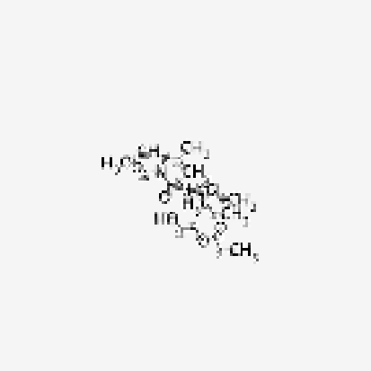 C=CC.C=CC.CCC(=O)OCCO.CCSC(=O)N(CC(C)C)CC(C)C